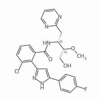 CO[C@H](CO)[C@@H](Cc1ncccn1)NC(=O)c1cccc(Cl)c1-c1cc(-c2ccc(F)cc2)[nH]n1